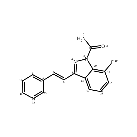 NC(=O)n1nc(/C=C/c2cccnc2)c2c[c]cc(F)c21